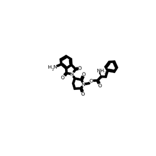 Nc1cccc2c1C(=O)N(C1CCC(=O)N(COC(=O)[C@@H](N)Cc3ccccc3)C1=O)C2=O